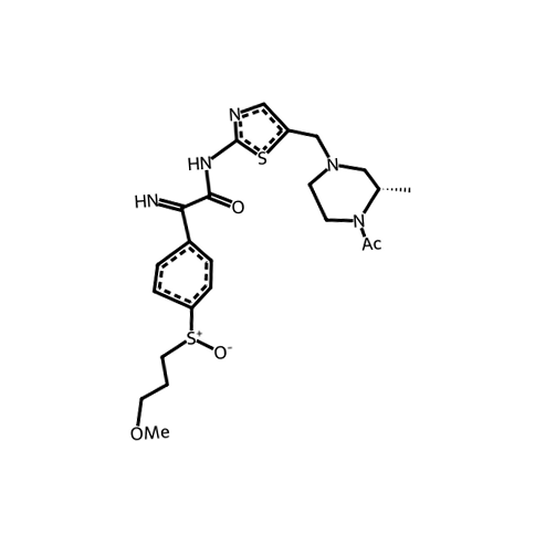 COCCC[S+]([O-])c1ccc(C(=N)C(=O)Nc2ncc(CN3CCN(C(C)=O)[C@@H](C)C3)s2)cc1